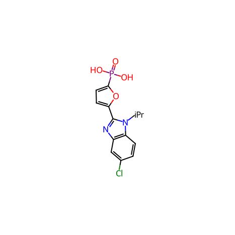 CC(C)n1c(-c2ccc(P(=O)(O)O)o2)nc2cc(Cl)ccc21